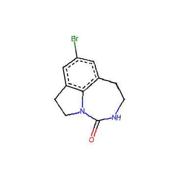 O=C1NCCc2cc(Br)cc3c2N1CC3